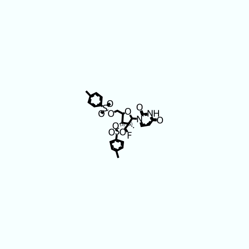 Cc1ccc(S(=O)(=O)OCC2OC(n3ccc(=O)[nH]c3=O)[C@@](C)(CF)[C@@H]2OS(=O)(=O)c2ccc(C)cc2)cc1